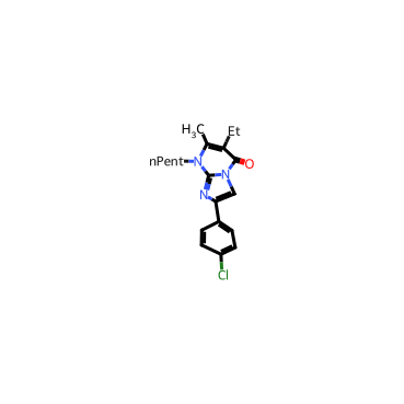 CCCCCn1c(C)c(CC)c(=O)n2cc(-c3ccc(Cl)cc3)nc12